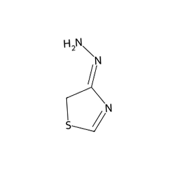 N/N=C1\CSC=N1